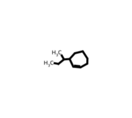 C[CH]C(C)C1C=CCCCC1